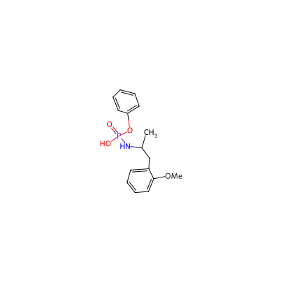 COc1ccccc1CC(C)NP(=O)(O)Oc1ccccc1